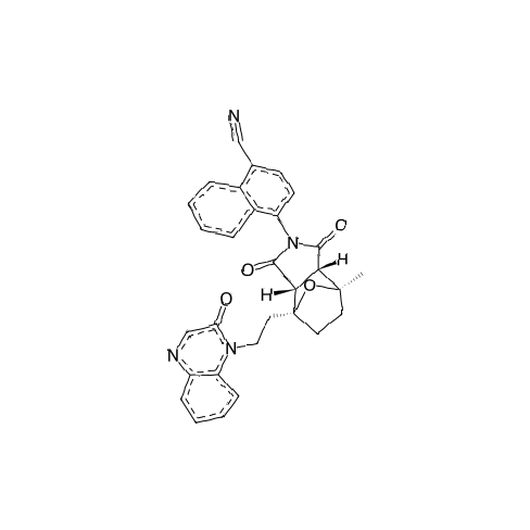 C[C@]12CC[C@](CCn3c(=O)cnc4ccccc43)(O1)[C@@H]1C(=O)N(c3ccc(C#N)c4ccccc34)C(=O)[C@@H]12